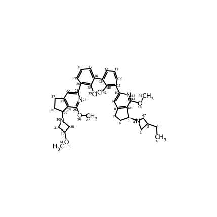 CCC1CN([C@H]2CCc3cc(-c4cccc(-c5cccc(-c6cc7c(c(OC)n6)C(N6CC(OC)C6)CC7)c5Cl)c4Cl)nc(OC)c32)C1